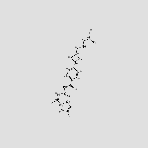 Cc1cn2cc(NC(=O)c3cnc(N4CC(CNCC(F)F)C4)cn3)nc(C)c2n1